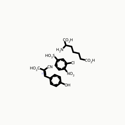 N#C/C(=C\c1ccc(O)cc1)C(=O)O.NC(CCCCC(=O)O)C(=O)O.O=[N+]([O-])c1ccc(S(=O)(=O)O)cc1Cl